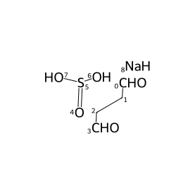 O=CCCC=O.O=S(O)O.[NaH]